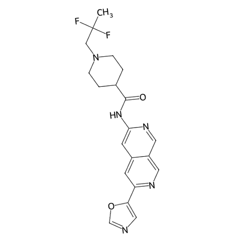 CC(F)(F)CN1CCC(C(=O)Nc2cc3cc(-c4cnco4)ncc3cn2)CC1